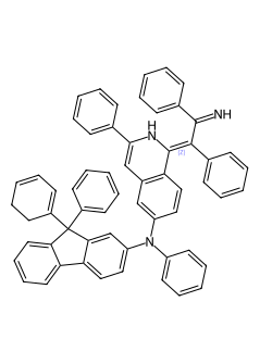 N=C(/C(=C1\NC(c2ccccc2)=Cc2cc(N(c3ccccc3)c3ccc4c(c3)C(C3=CC=CCC3)(c3ccccc3)c3ccccc3-4)ccc21)c1ccccc1)c1ccccc1